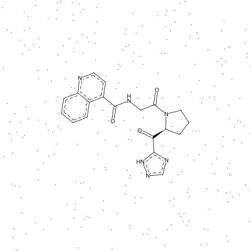 O=C(NCC(=O)N1CCC[C@H]1C(=O)c1ncn[nH]1)c1ccnc2ccccc12